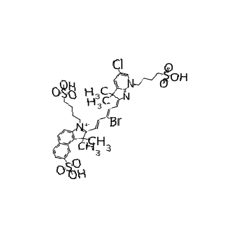 CC1(C)C2=CC(Cl)=CN(CCCCS(=O)(=O)O)C2=N/C1=C/C=C(Br)/C=C/C1=[N+](CCCCS(=O)(=O)O)c2ccc3ccc(S(=O)(=O)O)cc3c2C1(C)C